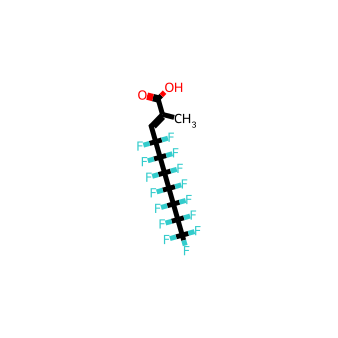 C/C(=C\C(F)(F)C(F)(F)C(F)(F)C(F)(F)C(F)(F)C(F)(F)C(F)(F)F)C(=O)O